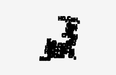 CC(C)OC(=O)c1cc(-c2nn(C)c(C(F)(F)F)c2Br)c(F)cc1Cl.CC1COc2ccccc2N1C(=O)C(Cl)Cl.CCNc1nc(Cl)nc(NC(C)C)n1.COc1cc(OC)nc(NC(=O)NS(=O)(=O)c2ncccc2C(=O)N(C)C)n1.CP(=O)(O)CCC(N)C(=O)O